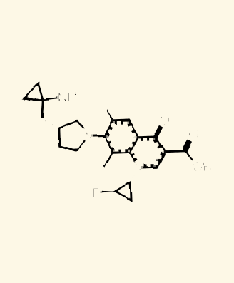 Cc1c(N2CC[C@H](CC3(N)CC3)C2)c(F)cc2c(=O)c(C(=O)O)cn([C@@H]3C[C@H]3F)c12